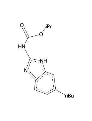 CCCCc1ccc2nc(NC(=O)OC(C)C)[nH]c2c1